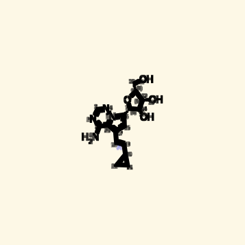 Nc1ncnn2c([C@@H]3O[C@H](CO)[C@@H](O)[C@H]3O)cc(/C=C/C3CC3)c12